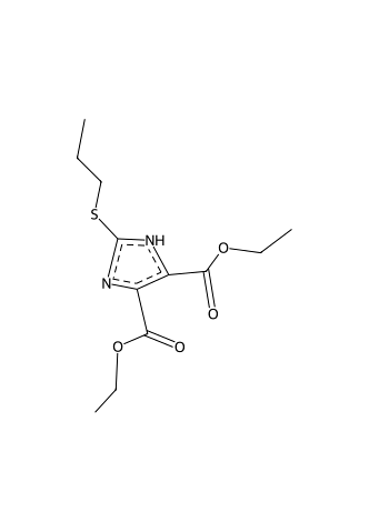 CCCSc1nc(C(=O)OCC)c(C(=O)OCC)[nH]1